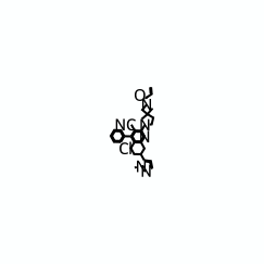 C=CC(=O)N1CC2(CCN(c3nc4c(c(-c5ccccc5Cl)c3C#N)CCC(c3ccnn3C)C4)C2)C1